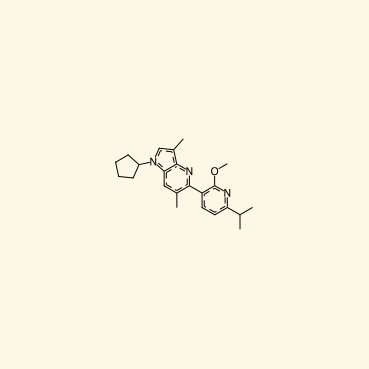 COc1nc(C(C)C)ccc1-c1nc2c(C)cn(C3CCCC3)c2cc1C